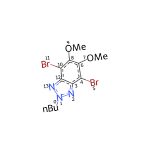 CCCCn1nc2c(Br)c(OC)c(OC)c(Br)c2n1